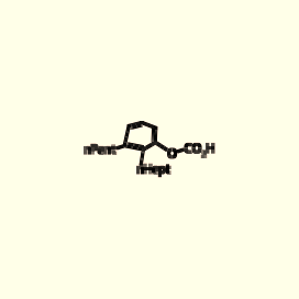 CCCCCCCc1c(CCCCC)cccc1OC(=O)O